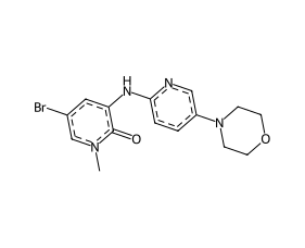 Cn1cc(Br)cc(Nc2ccc(N3CCOCC3)cn2)c1=O